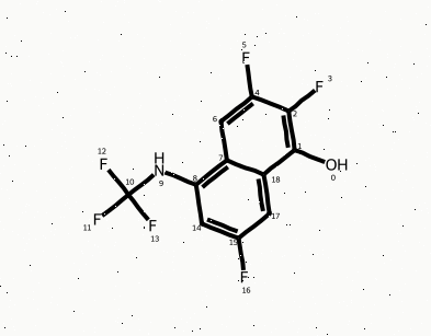 Oc1c(F)c(F)cc2c(NC(F)(F)F)cc(F)cc12